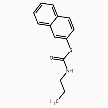 CCCNC(=O)Sc1ccc2ccccc2c1